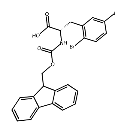 O=C(N[C@@H](Cc1cc(I)ccc1Br)C(=O)O)OCC1c2ccccc2-c2ccccc21